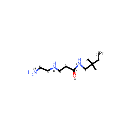 CC(C)CC(C)(C)CNC(=O)CCNCCN